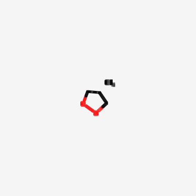 C.C1COOC1